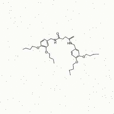 C=C(CCC(=O)NCc1ccc(OCCCC)c(OCCCC)c1)NCc1ccc(OCCCC)c(OCCCC)c1